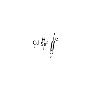 O=[Te].[Cd].[SeH2]